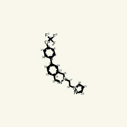 FC(F)(F)Oc1ccc(-c2ccc3c(c2)CN(CCn2cccn2)N=C3)cc1